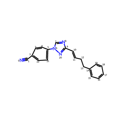 N#Cc1ccc(-n2cnc(C=CCCc3ccccc3)n2)cc1